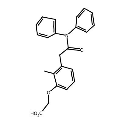 Cc1c(CC(=O)N(c2ccccc2)c2ccccc2)cccc1OCC(=O)O